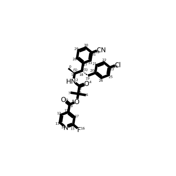 C[C@H](NC(=O)C(C)(C)OC(=O)c1ccnc(F)c1)[C@@H](Cc1ccc(Cl)cc1)c1cccc(C#N)c1